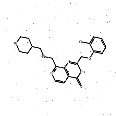 O=c1[nH]c(COc2ccccc2Cl)nc2c(CNCC3CCNCC3)nccc12